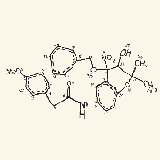 COc1ccc(CC(=O)Nc2ccc3c(c2)C(OCc2ccccc2)([N+](=O)[O-])C(O)C(C)(C)O3)cc1